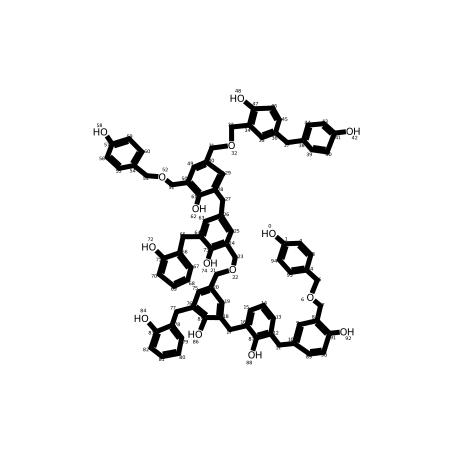 Oc1ccc(COCc2cc(Cc3cccc(Cc4cc(COCc5cc(Cc6cc(COCc7cc(Cc8ccc(O)cc8)ccc7O)cc(COCc7ccc(O)cc7)c6O)cc(Cc6ccccc6O)c5O)cc(Cc5ccccc5O)c4O)c3O)ccc2O)cc1